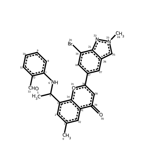 Cc1cc(C(C)Nc2ccccc2C=O)c2oc(-c3cc(Br)c4nn(C)cc4c3)cc(=O)c2c1